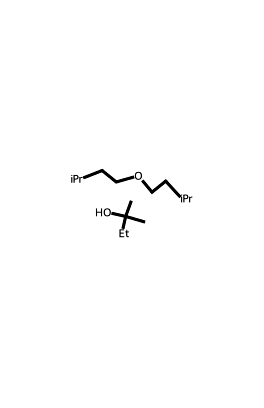 CC(C)CCOCCC(C)C.CCC(C)(C)O